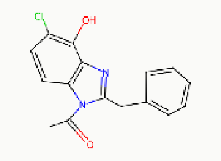 CC(=O)n1c(Cc2ccccc2)nc2c(O)c(Cl)ccc21